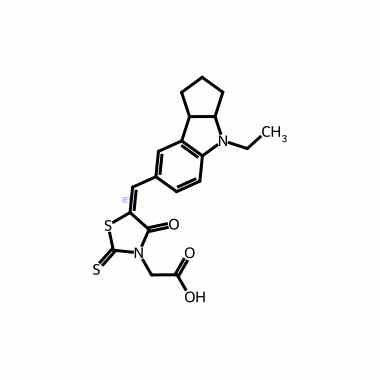 CCN1c2ccc(/C=C3/SC(=S)N(CC(=O)O)C3=O)cc2C2CCCC21